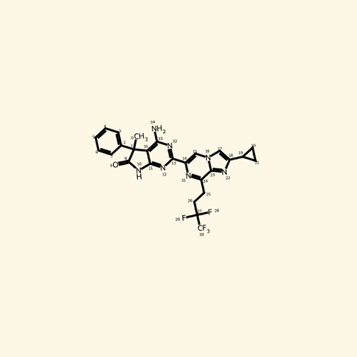 CC1(c2ccccc2)C(=O)Nc2nc(-c3cn4cc(C5CC5)nc4c(CCC(F)(F)C(F)(F)F)n3)nc(N)c21